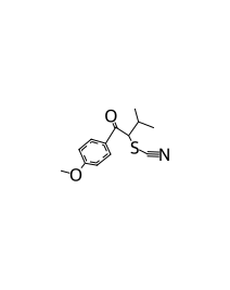 COc1ccc(C(=O)C(SC#N)C(C)C)cc1